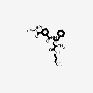 [CH2]C(C[C@H](Cc1ccccc1)NC(=O)c1cccc(C(=O)N(CCC)CCC)c1)C(=O)NCCCC(F)(F)F